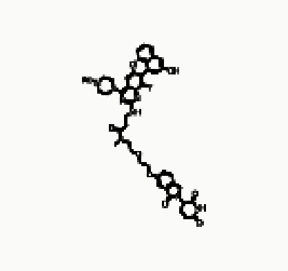 CC(=O)N1CCN(c2nc(NCCC(=O)N(C)CCOCCOc3ccc4c(c3)C(=O)N(C3CCC(=O)NC3=O)C4)nc3c(F)c(-c4cc(O)cc5ccccc45)c(Cl)cc23)CC1